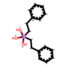 OP(O)(O)(CCc1ccccc1)CCc1ccccc1